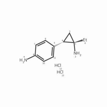 CC[C@]1(N)C[C@H]1c1ccc(N)cc1.Cl.Cl